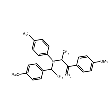 C=C(c1ccc(OC)cc1)C(C)N(c1ccc(C)cc1)C(C)c1ccc(OC)cc1